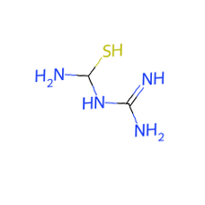 N=C(N)NC(N)S